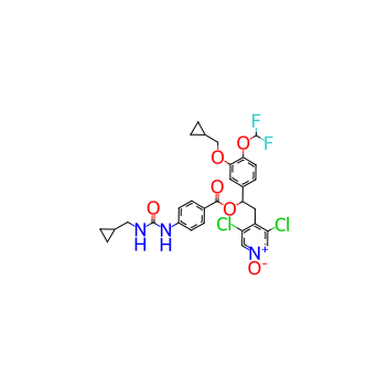 O=C(NCC1CC1)Nc1ccc(C(=O)OC(Cc2c(Cl)c[n+]([O-])cc2Cl)c2ccc(OC(F)F)c(OCC3CC3)c2)cc1